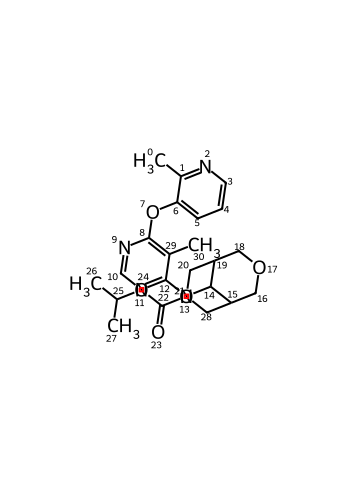 Cc1ncccc1Oc1ncnc(OC2C3COCC2CN(C(=O)OC(C)C)C3)c1C